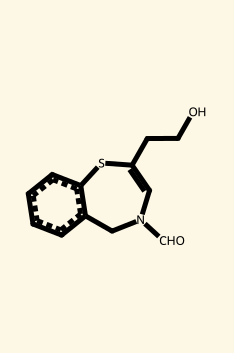 O=CN1C=C(CCO)Sc2ccccc2C1